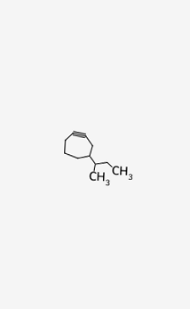 CCC(C)C1CC#CCCC1